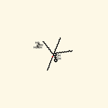 CCCCCCCCCCCCCc1c(O)c(C(C)(C)c2ccccc2O)c(CCCCCCCCCCCCC)c(CCCCCCCCCCCCC)c1CCCCCCCCCCCCC.OP(O)OP(O)O